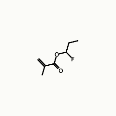 C=C(C)C(=O)OC(F)CC